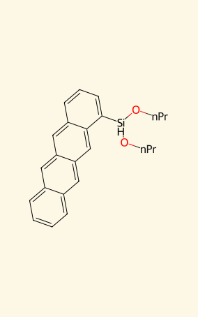 CCCO[SiH](OCCC)c1cccc2cc3cc4ccccc4cc3cc12